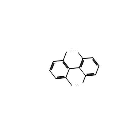 COc1cccc(OC)c1-c1c(C)cccc1C